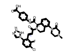 CN1CCN(c2cccc3c2CCN(C(=O)/C=C/c2c(N4C=NNN4)ccc(Cl)c2F)[C@H]3C(=O)Nc2ccc(C(=O)O)cc2)C(=O)C1